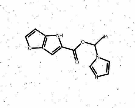 CC(C)C(OC(=O)c1cc2occc2[nH]1)n1ccnc1